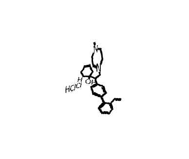 C=Cc1ccccc1-c1ccc(C(CN2CCN(C)CC2)C2(O)CCCCC2)cc1.Cl.Cl